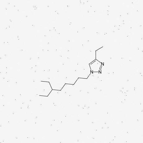 CCc1cn(CCCCCC(CC)CC)nn1